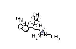 CCN/N=C(\N)CCC(c1ccc2c(c1)C(N=O)CC2)C(C)(C)C(=O)OC